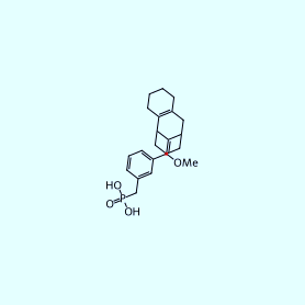 CO/C(=C1\C2CCCC1C1=C(CCCC1)C2)c1cccc(CP(=O)(O)O)c1